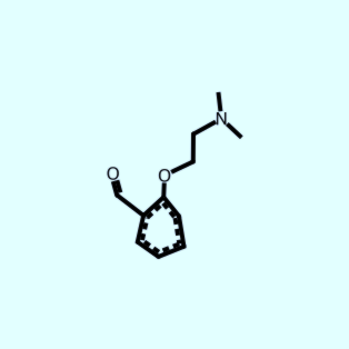 CN(C)CCOc1ccccc1C=O